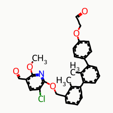 COc1nc(OCc2cccc(-c3cccc(-c4ccc(OCC=O)cc4)c3C)c2C)c(Cl)cc1C=O